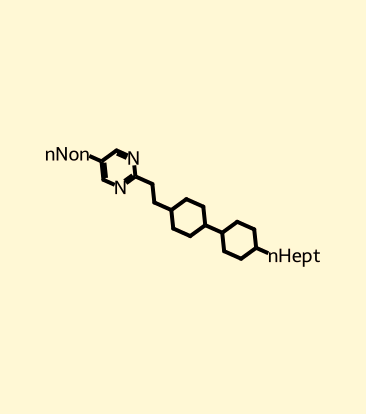 CCCCCCCCCc1cnc(CCC2CCC(C3CCC(CCCCCCC)CC3)CC2)nc1